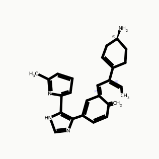 C=c1ccc(-c2nc[nH]c2-c2cccc(C)n2)c/c1=C/C(=C\C)C1=CC[C@@H](N)CC1